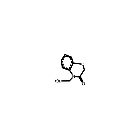 CC(C)(C)CN1C(=O)COc2ccccc21